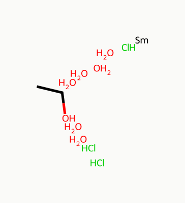 CCO.Cl.Cl.Cl.O.O.O.O.O.O.[Sm]